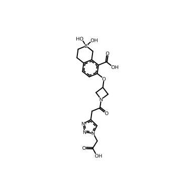 O=C(O)Cn1cc(CC(=O)N2CC(Oc3ccc4c(c3C(=O)O)C[B-](O)(O)CC4)C2)nn1